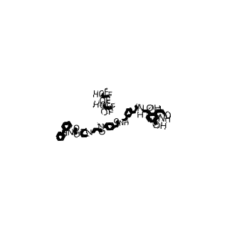 CC(Cc1cccc(CCNC(=O)Cc2ccc(N(C)C(=O)CCN3CCC(OC(=O)Nc4ccccc4-c4ccccc4)CC3)cc2)c1)NC[C@H](O)c1ccc(O)c2[nH]c(=O)ccc12.O=C(O)C(F)(F)F.O=C(O)C(F)(F)F